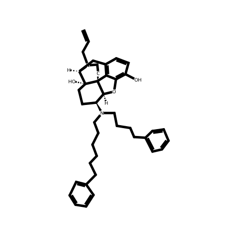 C=CCN1CC[C@]23c4c5ccc(O)c4O[C@H]2[C@@H](N(CCCCCCc2ccccc2)CCCCc2ccccc2)CC[C@@]3(O)[C@H]1C5